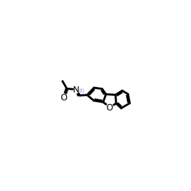 CC(=O)/N=C/c1ccc2c(c1)oc1ccccc12